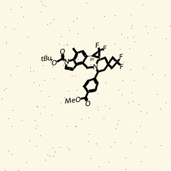 COC(=O)c1ccc(C2CC3(CCN2Cc2c([C@H]4CC4(F)F)cc(C)c4c2ccn4C(=O)OC(C)(C)C)CC(F)(F)C3)cc1